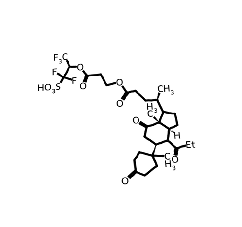 CCC(=O)C1[C@@H](C2(C)CCC(=O)CC2)CC(=O)[C@]2(C)C([C@H](C)CCC(=O)OCCC(=O)OC(C(F)(F)F)C(F)(F)S(=O)(=O)O)CC[C@@H]12